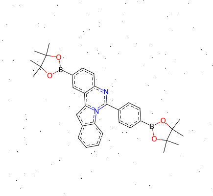 CC1(C)OB(c2ccc(-c3nc4ccc(B5OC(C)(C)C(C)(C)O5)cc4c4cc5ccccc5n34)cc2)OC1(C)C